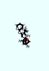 CC1(C)[C@@H]2CC[C@@](CCOC3CCCCO3)(NC(=O)C(F)(F)F)[C@H]1C2